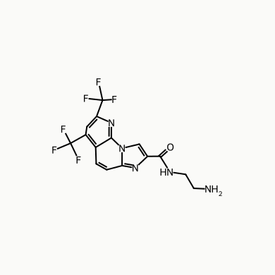 NCCNC(=O)c1cn2c(ccc3c(C(F)(F)F)cc(C(F)(F)F)nc32)n1